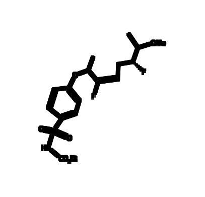 CCOC(=O)NS(=O)(=O)c1ccc(OC(C)/C(F)=C\C[C@@H](F)C(C)OC)cc1